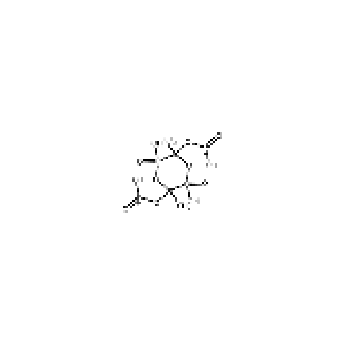 CC1(O[PH](=O)O)OP(=O)(O)C(C)(O[PH](=O)O)OP1(=O)O